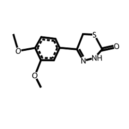 COc1ccc(C2=NNC(=O)SC2)cc1OC